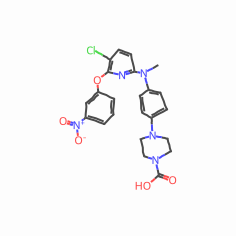 CN(c1ccc(N2CCN(C(=O)O)CC2)cc1)c1ccc(Cl)c(Oc2cccc([N+](=O)[O-])c2)n1